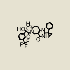 CC(O)(C(=O)N1CCCc2nc(C3(c4ccccc4)CC3)[nH]c(=O)c2C1)c1cccc(C(F)(F)F)c1